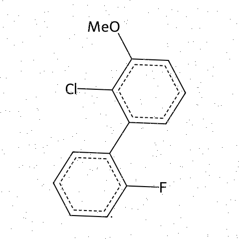 COc1cccc(-c2ccc[c]c2F)c1Cl